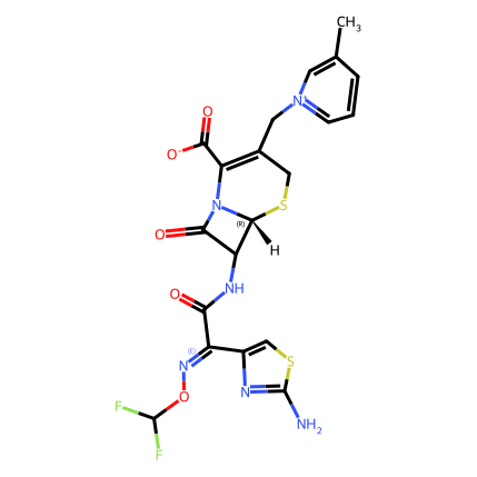 Cc1ccc[n+](CC2=C(C(=O)[O-])N3C(=O)C(NC(=O)/C(=N/OC(F)F)c4csc(N)n4)[C@H]3SC2)c1